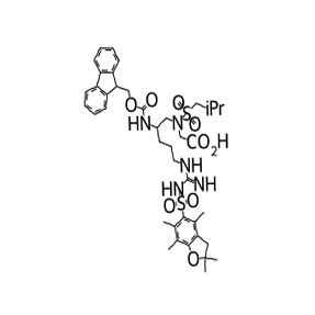 Cc1c(C)c(S(=O)(=O)NC(=N)NCCCC(CN(CC(=O)O)S(=O)(=O)CC(C)C)NC(=O)OCC2c3ccccc3-c3ccccc32)c(C)c2c1OC(C)(C)C2